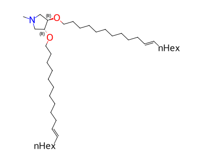 CCCCCCC=CCCCCCCCCCCO[C@@H]1CN(C)C[C@H]1OCCCCCCCCCCC=CCCCCCC